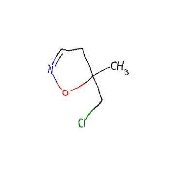 CC1(CCl)CC=NO1